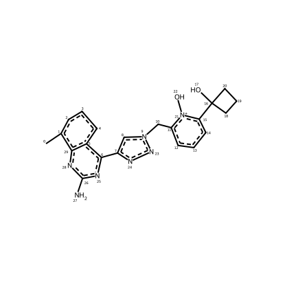 Cc1cccc2c(-c3cn(Cc4cccc(C5(O)CCC5)[n+]4O)nn3)nc(N)nc12